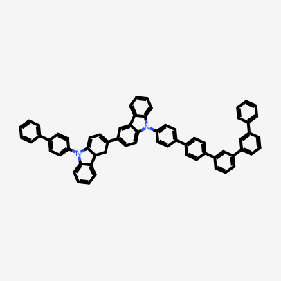 C1=C(c2ccc3c(c2)c2ccccc2n3-c2ccc(-c3ccc(-c4cccc(-c5cccc(-c6ccccc6)c5)c4)cc3)cc2)CC2C(=C1)N(c1ccc(-c3ccccc3)cc1)c1ccccc12